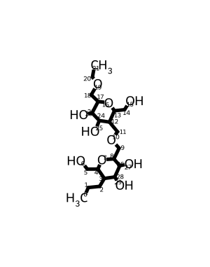 CCCC1C(CO)OC(COCC2C(CO)OC(COCC)C(O)C2O)C(O)C1O